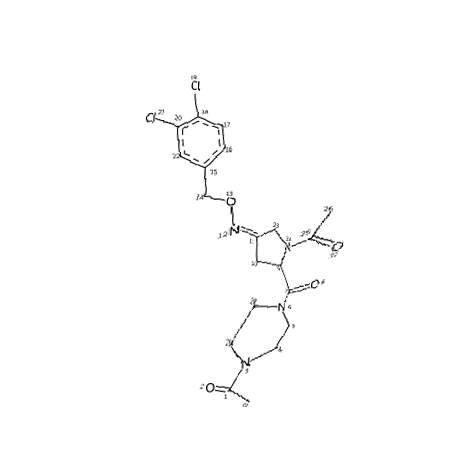 CC(=O)N1CCN(C(=O)C2CC(=NOCc3ccc(Cl)c(Cl)c3)CN2C(C)=O)CC1